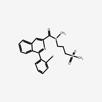 CN(CCCS(C)(=O)=O)C(=O)c1cc2ccccc2c(-c2ccccc2I)n1